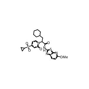 COc1ccc2nc(NC(=O)C(CC3CCCCC3)n3ccc(S(=O)(=O)C4CC4)cc3=O)sc2n1